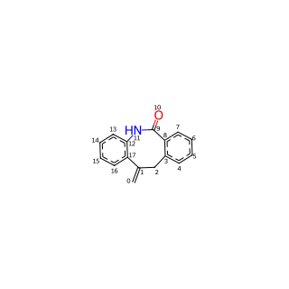 C=C1Cc2ccccc2C(=O)Nc2ccccc21